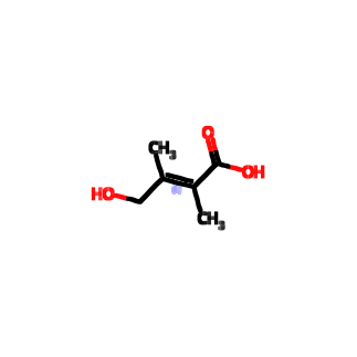 C/C(CO)=C(/C)C(=O)O